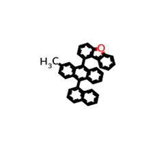 Cc1ccc2c(-c3cccc4ccccc34)c3ccccc3c(-c3cccc4oc5ccccc5c34)c2c1